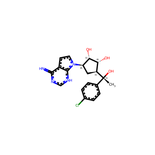 C[C@@](O)(c1ccc(Cl)cc1)[C@H]1C[C@@H](n2ccc3c(=N)nc[nH]c32)[C@H](O)[C@@H]1O